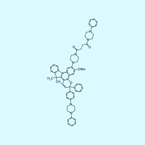 COc1cc2c3c(c4c(c2cc1N1CCN(C(=O)CCC(=O)N2CCN(c5ccccc5)CC2)CC1)-c1ccccc1C4(C)C)C=CC(c1ccccc1)(c1ccc(N2CCN(c4ccccc4)CC2)cc1)O3